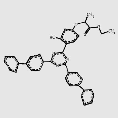 CCOC(=O)C(C)Oc1ccc(-c2nc(-c3ccc(-c4ccccc4)cc3)nc(-c3ccc(-c4ccccc4)cc3)n2)c(O)c1